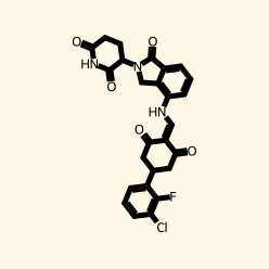 O=C1CCC(N2Cc3c(NC=C4C(=O)CC(c5cccc(Cl)c5F)CC4=O)cccc3C2=O)C(=O)N1